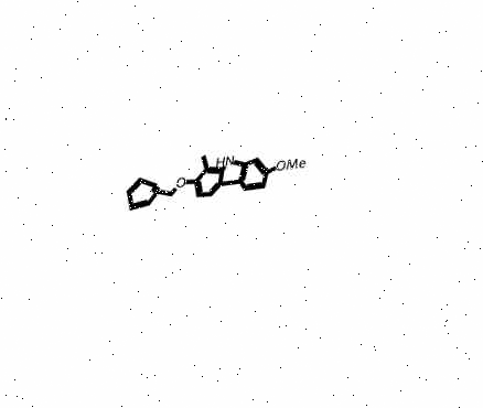 COc1ccc2c(c1)[nH]c1c(C)c(OCc3ccccc3)ccc12